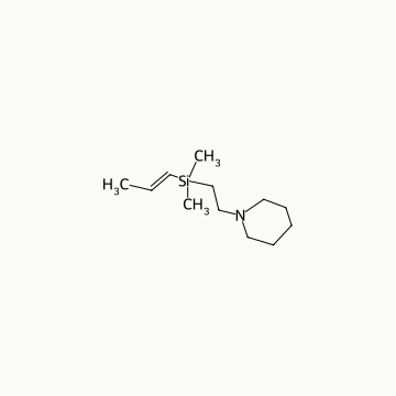 CC=C[Si](C)(C)CCN1CCCCC1